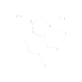 CC(C)(C)N1CC(C(C)(C)C)(C(C)(C)C)c2c1ccc(Cl)c2F